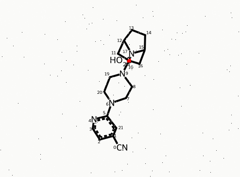 N#Cc1ccnc(N2CCN(C3CC4CCC(C3)N4C(=O)O)CC2)c1